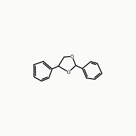 c1ccc(C2COC(c3ccccc3)O2)cc1